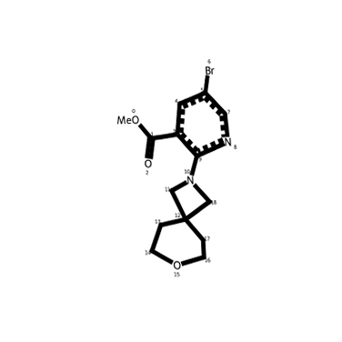 COC(=O)c1cc(Br)cnc1N1CC2(CCOCC2)C1